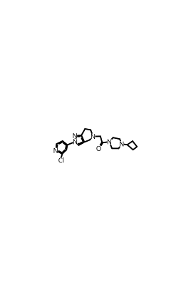 O=C(CN1CCc2nn(-c3ccnc(Cl)c3)cc2C1)N1CCN(C2CCC2)CC1